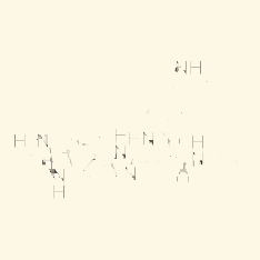 NCC1CCC(C(=O)N[C@@H](CCC(=O)NCC2CC2)c2ncc(-c3ccc4c(N)n[nH]c4c3)[nH]2)CC1